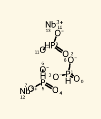 O=[PH]([O-])[O-].O=[PH]([O-])[O-].O=[PH]([O-])[O-].[Nb+3].[Nb+3]